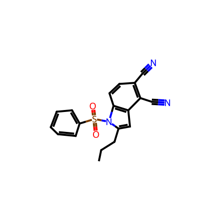 CCCc1cc2c(C#N)c(C#N)ccc2n1S(=O)(=O)c1ccccc1